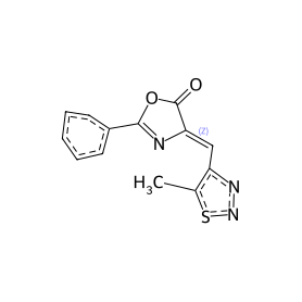 Cc1snnc1/C=C1\N=C(c2ccccc2)OC1=O